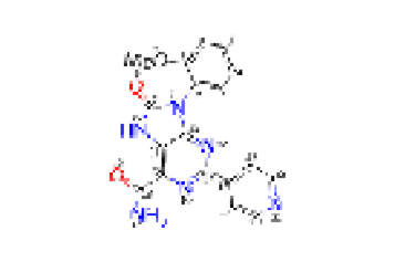 COc1ccccc1-n1c(=O)[nH]c2c(C(N)=O)nc(-c3ccncc3)nc21